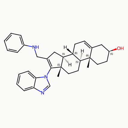 C[C@]12CC[C@H](O)CC1=CC[C@@H]1[C@@H]2CC[C@]2(C)C(n3cnc4ccccc43)=C(CNc3ccccc3)C[C@@H]12